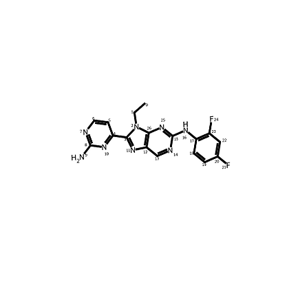 CCn1c(-c2ccnc(N)n2)nc2cnc(Nc3ccc(F)cc3F)nc21